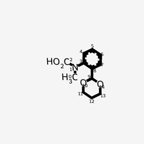 CN(C(=O)O)c1ccccc1C1OCCCO1